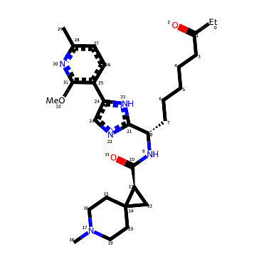 CCC(=O)CCCCC[C@H](NC(=O)[C@H]1CC12CCN(C)CC2)c1ncc(-c2ccc(C)nc2OC)[nH]1